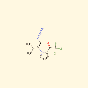 CC(C)[C@@H](CN=[N+]=[N-])n1cccc1C(=O)C(Cl)(Cl)Cl